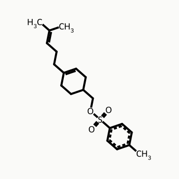 CC(C)=CCCC1=CCC(COS(=O)(=O)c2ccc(C)cc2)CC1